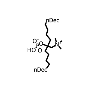 CCCCCCCCCCCCCCC(CCCCCCCCCCCCCC)(C[N+](C)(C)C)OP(=O)([O-])O